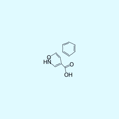 O=C(O)C1=CNOC=C1.c1ccccc1